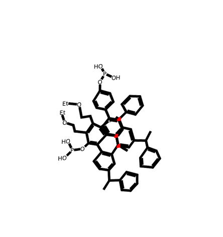 CCOCCc1c(CCOCC)c(Sc2ccc(OP(O)O)cc2)c(-c2ccc(C(C)c3ccccc3)cc2C(C)c2ccccc2)c(-c2ccc(C(C)c3ccccc3)cc2C(C)c2ccccc2)c1OP(O)O